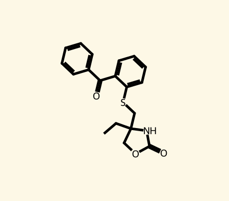 CCC1(CSc2ccccc2C(=O)c2ccccc2)COC(=O)N1